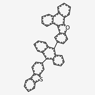 c1ccc2c(c1)sc1cc(-c3c4ccccc4c(-c4ccc5oc6c7ccccc7c7ccccc7c6c5c4)c4ccccc34)ccc12